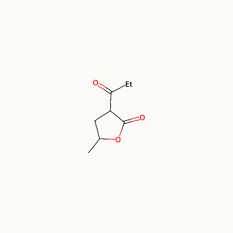 CCC(=O)C1CC(C)OC1=O